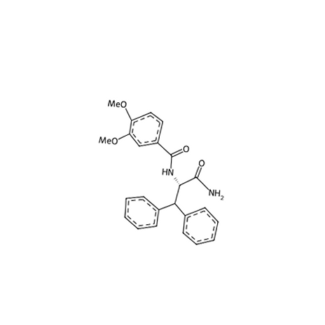 COc1ccc(C(=O)N[C@H](C(N)=O)C(c2ccccc2)c2ccccc2)cc1OC